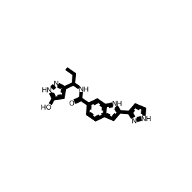 CCC(NC(=O)c1ccc2cc(-c3cc[nH]n3)[nH]c2c1)c1cc(O)[nH]n1